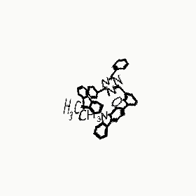 CC1(C)c2ccccc2-c2ccc(-n3c4ccccc4c4ccc5c6cccc(-c7nc(-c8ccccc8)nc(-c8ccccc8)n7)c6oc5c43)cc21